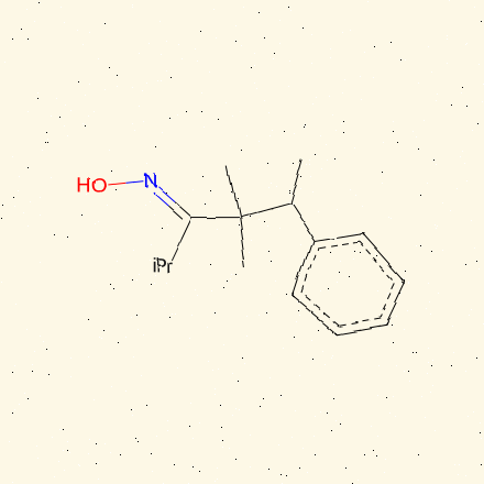 CC(C)C(=NO)C(C)(C)C(C)c1ccccc1